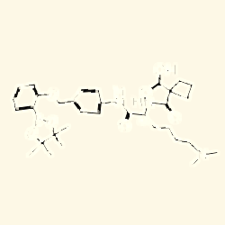 CN(C)CCCC[C@H](NC(=O)C1(C(=O)O)CCC1)C(=O)Nc1ccc(COc2ccccc2B2OC(C)(C)C(C)(C)O2)cc1